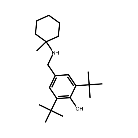 CC1(NCc2cc(C(C)(C)C)c(O)c(C(C)(C)C)c2)CCCCC1